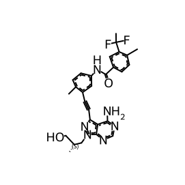 Cc1ccc(NC(=O)c2ccc(C)c(C(C)(F)F)c2)cc1C#Cc1nn(C[C@H](C)CO)c2ncnc(N)c12